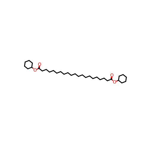 O=C(CCCCCCCCCCCCCCCCCCCC(=O)OC1CCCCC1)OC1CCCCC1